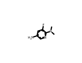 CN(C)c1ncc(N)cc1F